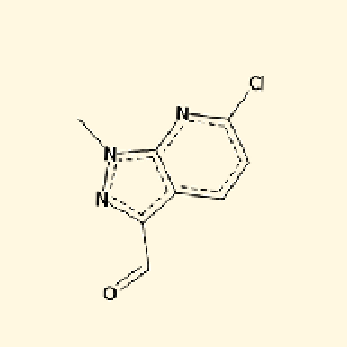 Cn1nc(C=O)c2ccc(Cl)nc21